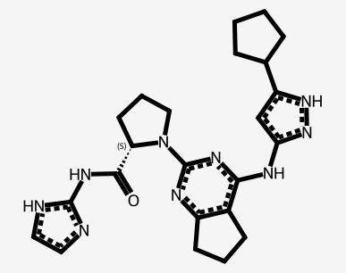 O=C(Nc1ncc[nH]1)[C@@H]1CCCN1c1nc2c(c(Nc3cc(C4CCCC4)[nH]n3)n1)CCC2